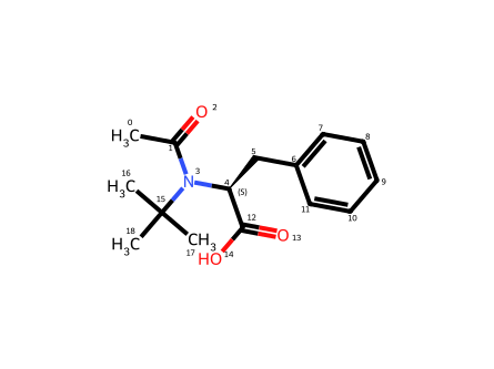 CC(=O)N([C@@H](Cc1ccccc1)C(=O)O)C(C)(C)C